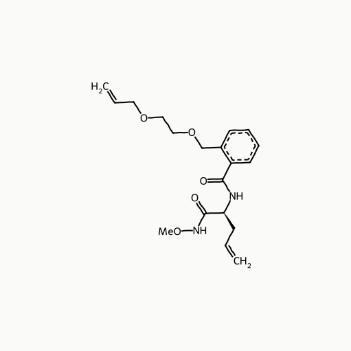 C=CCOCCOCc1ccccc1C(=O)N[C@@H](CC=C)C(=O)NOC